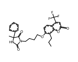 CCCc1c(OCCCCN2C(=O)NC(C)(c3ccccc3)C2=O)ccc2c(C(F)(F)F)cc(=O)oc12